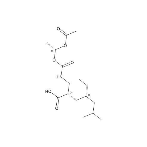 CC[C@H](CC(C)C)C[C@@H](CNC(=O)O[C@H](C)OC(C)=O)C(=O)O